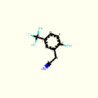 N#CCc1cc(C(F)(F)F)ccc1F